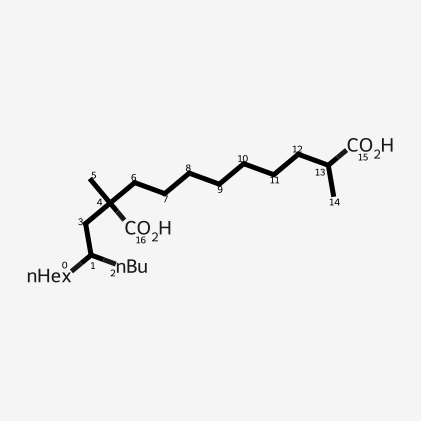 CCCCCCC(CCCC)CC(C)(CCCCCCCC(C)C(=O)O)C(=O)O